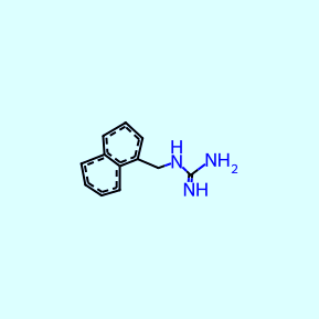 N=C(N)NCc1cccc2ccccc12